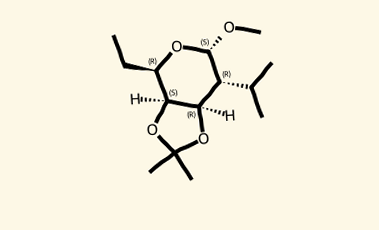 CC[C@H]1O[C@H](OC)[C@H](C(C)C)[C@H]2OC(C)(C)O[C@H]21